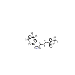 CC(C)(C)OC(=O)CCC/C=C\[C@@H]1CCOC(C)(C)O1